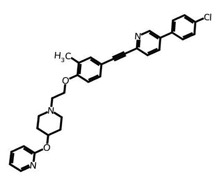 Cc1cc(C#Cc2ccc(-c3ccc(Cl)cc3)cn2)ccc1OCCN1CCC(Oc2ccccn2)CC1